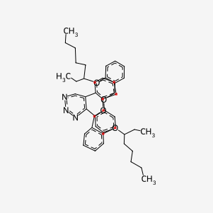 CCCCCC(CC)Oc1ccccc1COc1ccccc1-c1cnnnc1-c1ccccc1OCc1ccccc1OC(CC)CCCCC